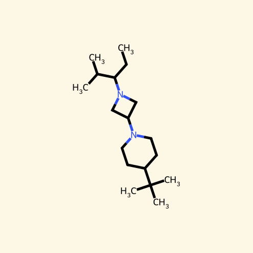 CCC(C(C)C)N1CC(N2CCC(C(C)(C)C)CC2)C1